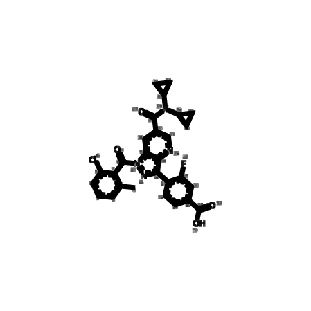 Cc1cccc(Cl)c1C(=O)n1nc(-c2ccc(C(=O)O)cc2F)c2ncc(C(=O)N(C3CC3)C3CC3)cc21